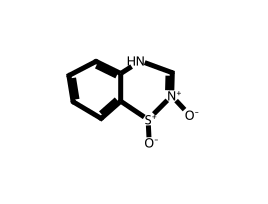 [O-][N+]1=CNc2ccccc2[S+]1[O-]